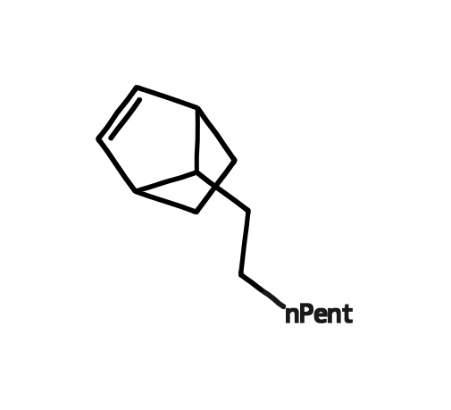 CCCCCCCC1C2C=CC1CC2